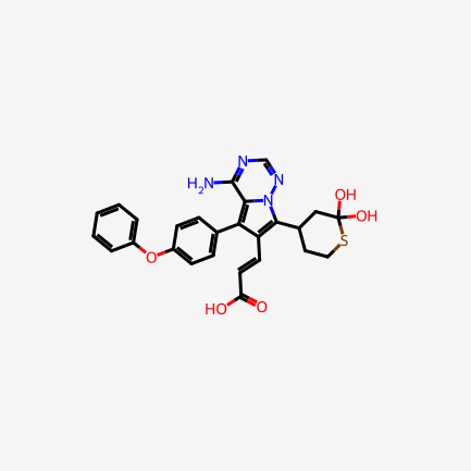 Nc1ncnn2c(C3CCSC(O)(O)C3)c(/C=C/C(=O)O)c(-c3ccc(Oc4ccccc4)cc3)c12